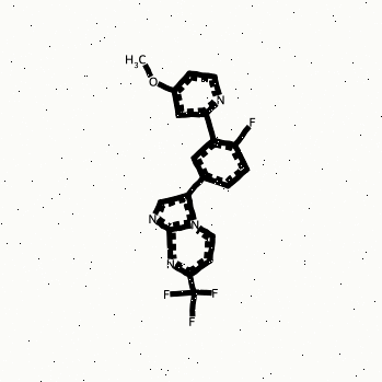 COc1ccnc(-c2cc(-c3cnc4nc(C(F)(F)F)ccn34)ccc2F)c1